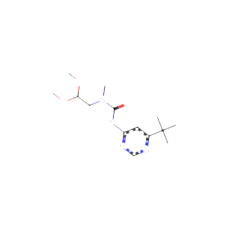 COC(CN(C)C(=O)Nc1cc(C(C)(C)C)ncn1)OC